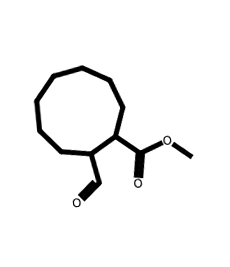 COC(=O)C1CCCCCCCC1C=O